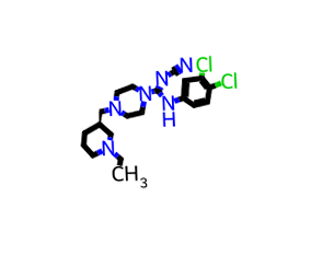 CCN1CCC[C@@H](CN2CCN(/C(=N/C#N)Nc3ccc(Cl)c(Cl)c3)CC2)C1